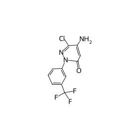 Nc1cc(=O)n(-c2cccc(C(F)(F)F)c2)nc1Cl